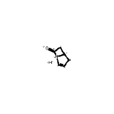 O=C1CC2CC=CN12.[H+]